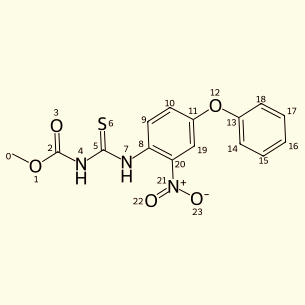 COC(=O)NC(=S)Nc1ccc(Oc2ccccc2)cc1[N+](=O)[O-]